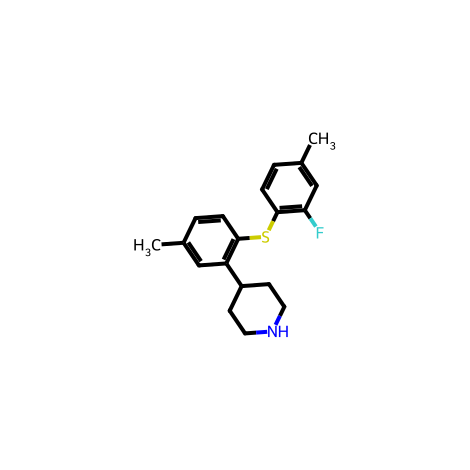 Cc1ccc(Sc2ccc(C)cc2C2CCNCC2)c(F)c1